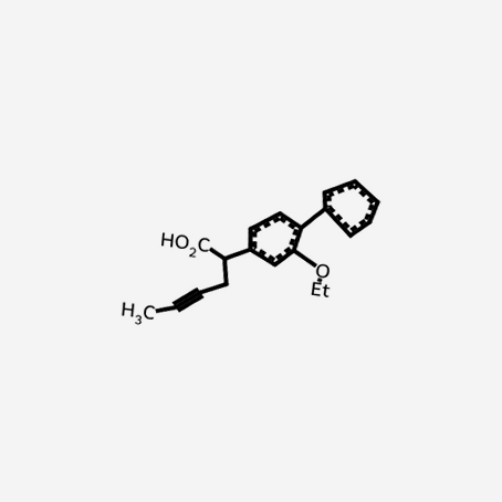 CC#CCC(C(=O)O)c1ccc(-c2ccccc2)c(OCC)c1